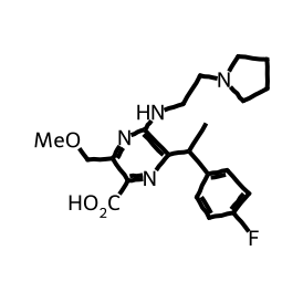 COCc1nc(NCCN2CCCC2)c(C(C)c2ccc(F)cc2)nc1C(=O)O